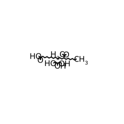 CCCCCCC(CCCCCCCCCCC(=O)O)C(C)=O.OCC(O)CO